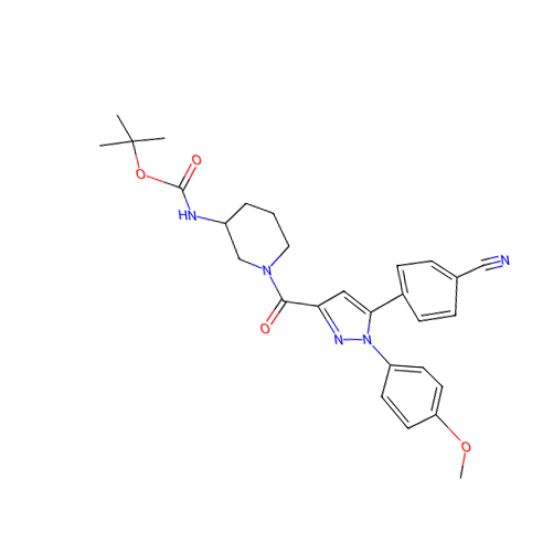 COc1ccc(-n2nc(C(=O)N3CCCC(NC(=O)OC(C)(C)C)C3)cc2-c2ccc(C#N)cc2)cc1